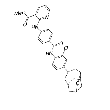 COC(=O)c1cccnc1Nc1ccc(C(=O)Nc2ccc(C3CC4CC5CC(C4)C(C5)C3)cc2Cl)cc1